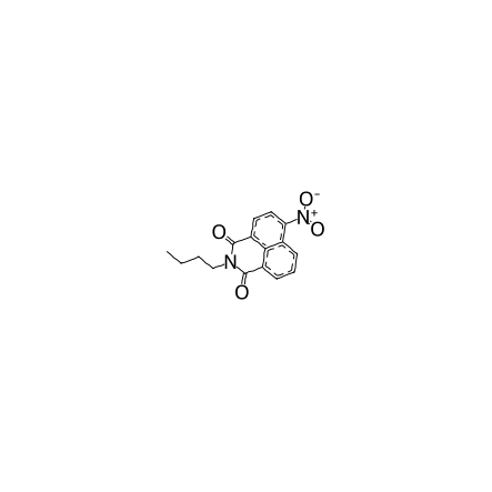 CCCCN1C(=O)c2cccc3c([N+](=O)[O-])ccc(c23)C1=O